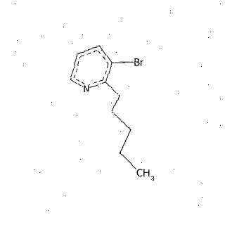 CCCCCc1ncccc1Br